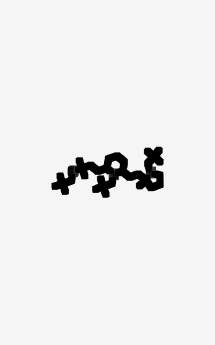 CC(C)(C)COC(C)(C)CCC1CCCC(CCC2(C)CCCN2CC(C)(C)C)N1CC(C)(C)C